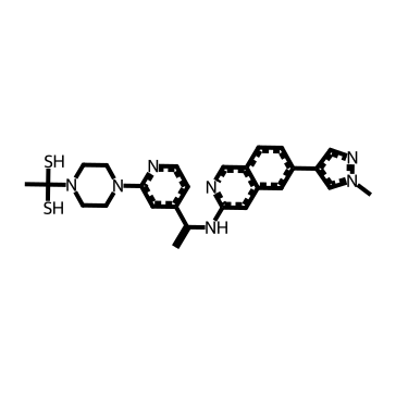 C=C(Nc1cc2cc(-c3cnn(C)c3)ccc2cn1)c1ccnc(N2CCN(C(C)(S)S)CC2)c1